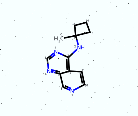 CC1(Nc2ncnc3cnccc23)CCC1